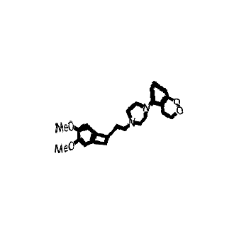 COc1cc2c(cc1OC)C(CCN1CCN(c3cccc4c3CCOO4)CC1)C2